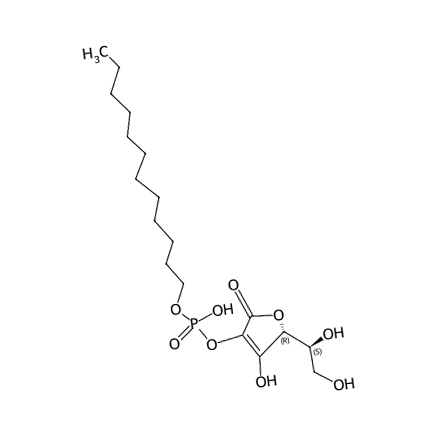 CCCCCCCCCCCCOP(=O)(O)OC1=C(O)[C@@H]([C@@H](O)CO)OC1=O